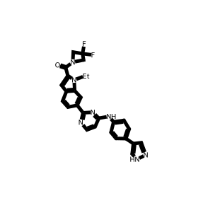 CCn1c(C(=O)N2CC(F)(F)C2)cc2ccc(-c3nccc(Nc4ccc(-c5cn[nH]c5)cc4)n3)cc21